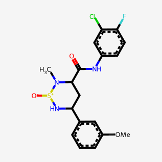 COc1cccc(C2CC(C(=O)Nc3ccc(F)c(Cl)c3)N(C)[S+]([O-])N2)c1